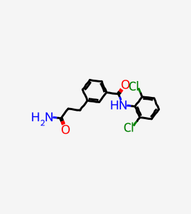 NC(=O)CCc1cccc(C(=O)Nc2c(Cl)cccc2Cl)c1